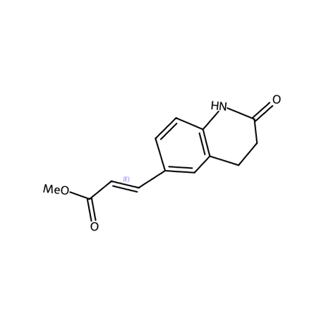 COC(=O)/C=C/c1ccc2c(c1)CCC(=O)N2